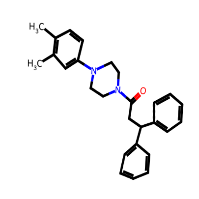 Cc1ccc(N2CCN(C(=O)CC(c3ccccc3)c3ccccc3)CC2)cc1C